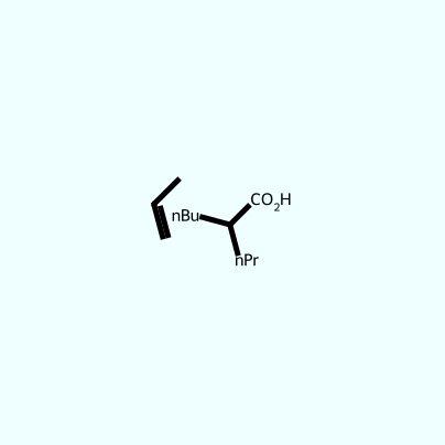 C=CC.CCCCC(CCC)C(=O)O